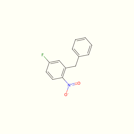 O=[N+]([O-])c1ccc(F)cc1Cc1ccccc1